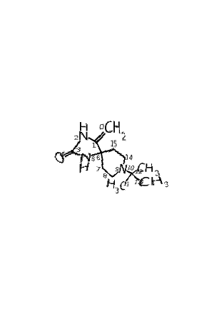 C=C1NC(=O)NC12CCN(C(C)(C)C)CC2